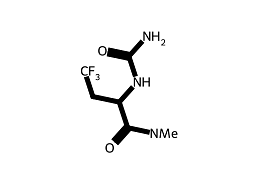 CNC(=O)C(CC(F)(F)F)NC(N)=O